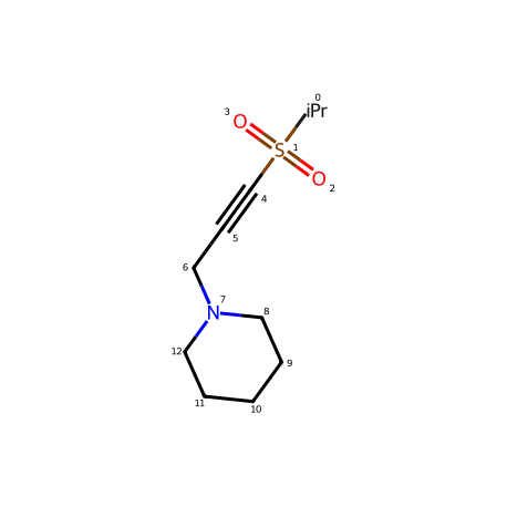 CC(C)S(=O)(=O)C#CCN1CCCCC1